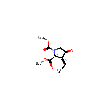 C/C=C1/C(=O)CN(C(=O)OC(C)(C)C)[C@@H]1C(=O)OC(C)(C)C